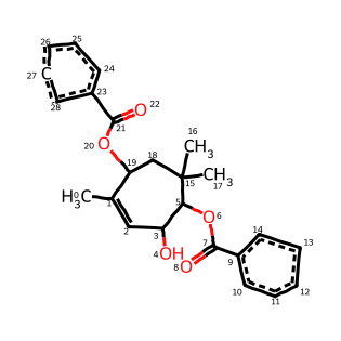 CC1=CC(O)C(OC(=O)c2ccccc2)C(C)(C)CC1OC(=O)c1ccccc1